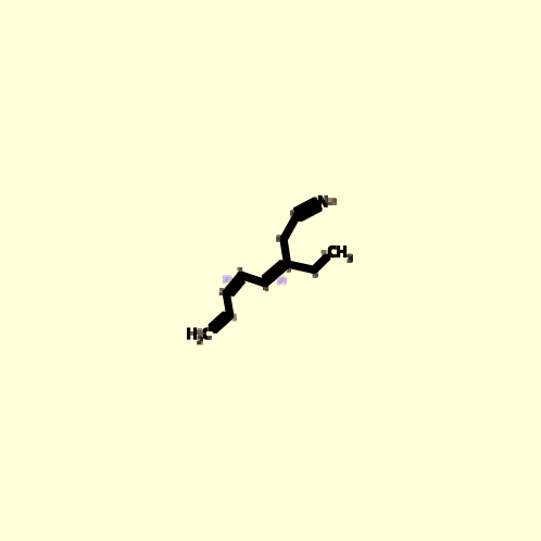 C=C/C=C\C=C(\CC)CC#N